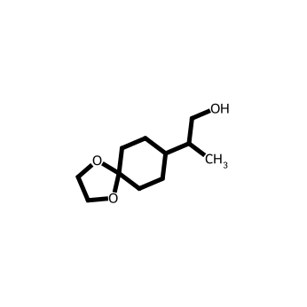 CC(CO)C1CCC2(CC1)OCCO2